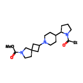 CCC(=O)N1CCCC1C1CCN(C2CC3(CCN(C(=O)OC)C3)C2)CC1